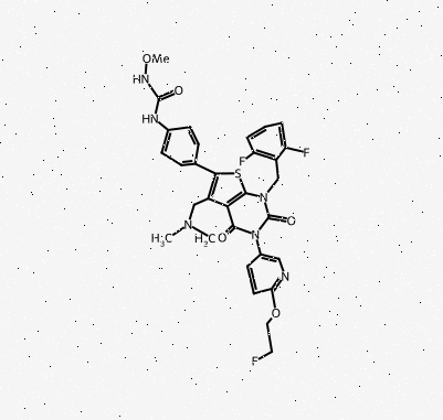 CONC(=O)Nc1ccc(-c2sc3c(c2CN(C)C)c(=O)n(-c2ccc(OCCF)nc2)c(=O)n3Cc2c(F)cccc2F)cc1